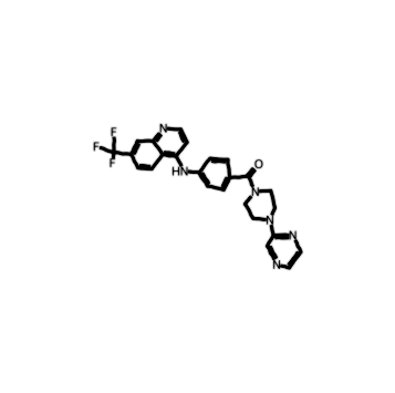 O=C(c1ccc(Nc2ccnc3cc(C(F)(F)F)ccc23)cc1)N1CCN(c2cnccn2)CC1